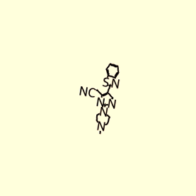 CN1CCN(c2ncc(-c3nc4ccccc4s3)c(CC#N)n2)CC1